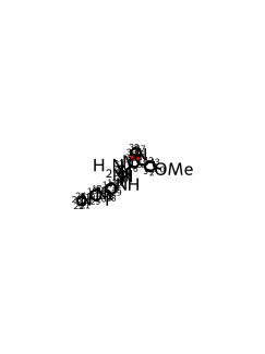 COc1ccc(-c2cc(-n3nc(Nc4ccc(N5CCC(N6CCCC6)CC5)c(F)c4)nc3N)nc3c2N2CCC3CC2)cc1